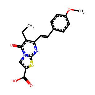 CCc1c(/C=C/c2ccc(OC)cc2)nc2sc(C(=O)O)cn2c1=O